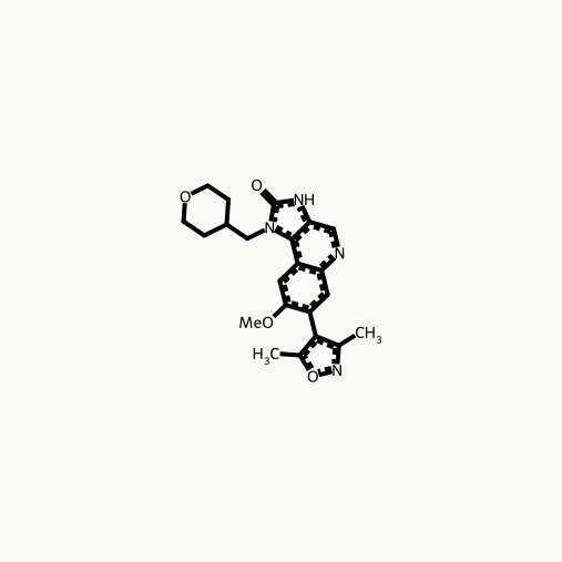 COc1cc2c(cc1-c1c(C)noc1C)ncc1[nH]c(=O)n(CC3CCOCC3)c12